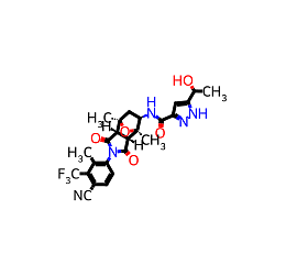 Cc1c(N2C(=O)[C@@H]3[C@H](C2=O)[C@@]2(C)C[C@@H](NC(=O)c4cc(C(C)O)[nH]n4)[C@]3(C)O2)ccc(C#N)c1C(F)(F)F